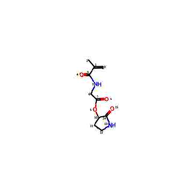 C=C(C)C(=O)NCC(=O)OC1CCNC1=O